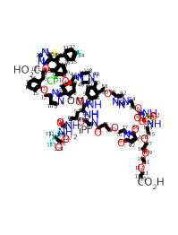 COc1ccccc1-c1nccc(COc2ccccc2C[C@@H](Oc2ncnc3sc(-c4ccc(F)cc4)c(-c4ccc(OCCN5CC[N+](C)(Cc6ccc(NC(=O)[C@H](CCCNC(N)=O)NC(=O)[C@@H](NC(=O)CCOCCN7C(=O)C=CC7=O)C(C)C)cc6COCc6cn(CCOC(=O)NS(=O)(=O)NCCOCCOCCOCCC(=O)O)nn6)CC5)c(Cl)c4C)c23)C(=O)O)n1.O=C([O-])C(F)(F)F